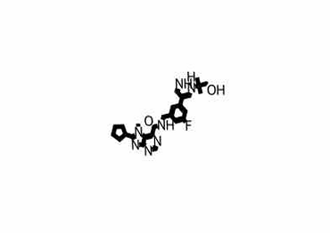 Cn1c(C2CCCC2)nc2ncnc(C(=O)NCc3cc(F)cc(/C(C=N)=C/NC(C)(C)CO)c3)c21